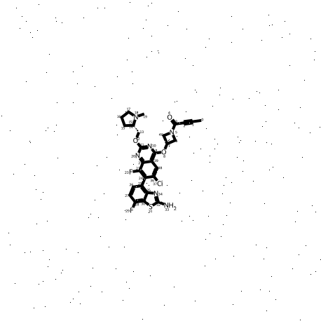 CC#CC(=O)N1CC(Oc2nc(OC[C@@H]3CCCN3C)nc3c(F)c(-c4ccc(F)c5sc(N)nc45)c(Cl)cc23)C1